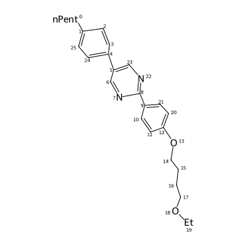 CCCCCc1ccc(-c2cnc(-c3ccc(OCCCCOCC)cc3)nc2)cc1